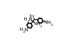 CCC(c1ccc(N)cc1)C(N)(N)c1ccc(N)cc1